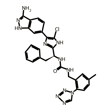 Cc1ccc(-n2cnnn2)c(CNC(=O)N[C@@H](Cc2ccccc2)c2nc(-c3ccc4c(N)n[nH]c4c3)c(Cl)[nH]2)c1